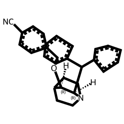 N#Cc1ccc(CO[C@@H]2C3CCN(CC3)[C@@H]2C(c2ccccc2)c2ccccc2)cc1